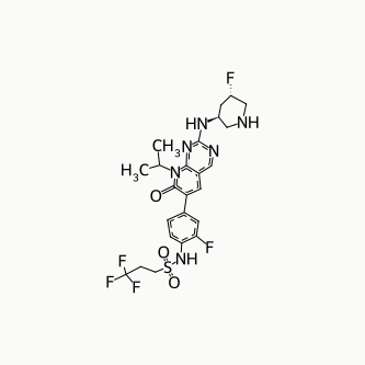 CC(C)n1c(=O)c(-c2ccc(NS(=O)(=O)CCC(F)(F)F)c(F)c2)cc2cnc(N[C@@H]3CNC[C@@H](F)C3)nc21